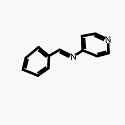 C(=Nc1ccncc1)c1ccccc1